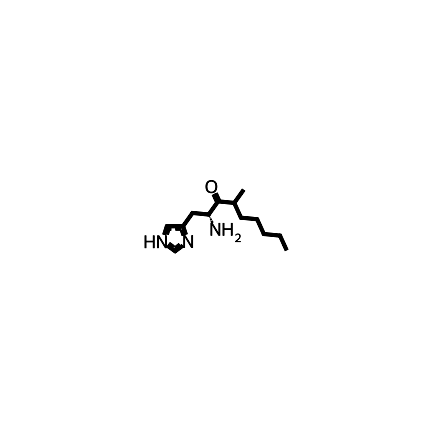 CCCCCC(C)C(=O)[C@H](N)Cc1c[nH]cn1